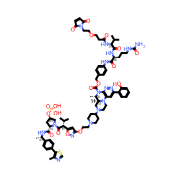 Cc1ncsc1-c1ccc([C@H](C)NC(=O)[C@@H]2C[C@@H](OP(=O)(O)O)CN2C(=O)[C@@H](c2cc(OCCN3CCC(N4CCN5c6cc(-c7ccccc7O)nnc6N(C(=O)OCc6ccc(NC(=O)[C@H](CCCNC(N)=O)NC(=O)[C@@H](NC(=O)CCOCCN7C(=O)C=CC7=O)C(C)C)cc6)[C@@H](C)[C@@H]5C4)CC3)no2)C(C)C)cc1